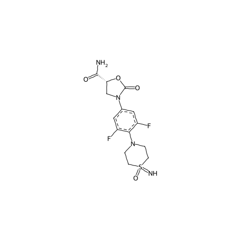 N=S1(=O)CCN(c2c(F)cc(N3C[C@H](C(N)=O)OC3=O)cc2F)CC1